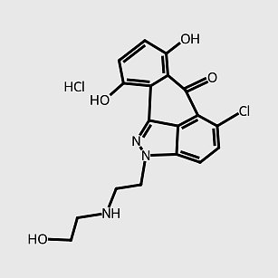 Cl.O=C1c2c(O)ccc(O)c2-c2nn(CCNCCO)c3ccc(Cl)c1c23